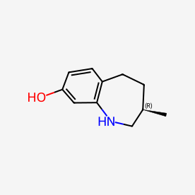 C[C@@H]1CCc2ccc(O)cc2NC1